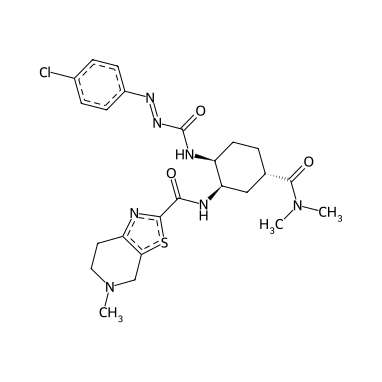 CN1CCc2nc(C(=O)N[C@@H]3C[C@@H](C(=O)N(C)C)CC[C@@H]3NC(=O)/N=N/c3ccc(Cl)cc3)sc2C1